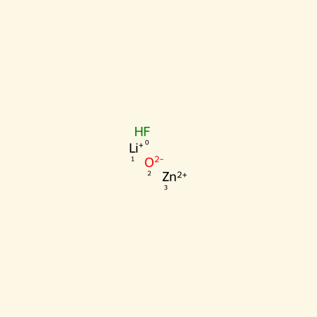 F.[Li+].[O-2].[Zn+2]